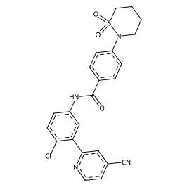 N#Cc1ccnc(-c2cc(NC(=O)c3ccc(N4CCCCS4(=O)=O)cc3)ccc2Cl)c1